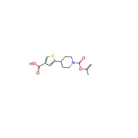 C=C(C)OC(=O)N1CCC(c2cc(C(=O)O)cs2)CC1